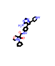 Nc1ncnn2c(C3CCNCC3)cc(-c3ccc(NC(=O)c4c5n(n(-c6ccccc6)c4=O)CCOC5)cc3)c12